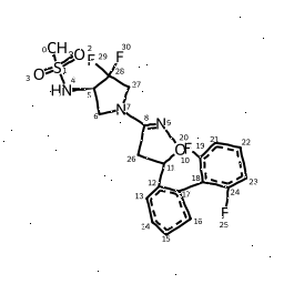 CS(=O)(=O)N[C@@H]1CN(C2=NOC(c3ccccc3-c3c(F)cccc3F)C2)CC1(F)F